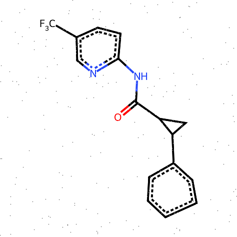 O=C(Nc1ccc(C(F)(F)F)cn1)C1CC1c1ccccc1